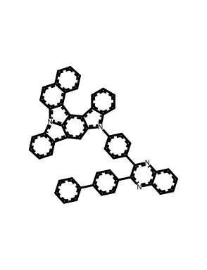 c1ccc(-c2ccc(-c3nc4ccccc4nc3-c3ccc(-n4c5ccccc5c5c6c7c8ccccc8ccc7n7c8ccccc8c(cc54)c67)cc3)cc2)cc1